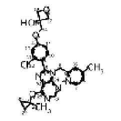 Cc1ccnc(Cn2c(-c3ccc(OCC4(O)COC4)cc3Cl)nc3c(OC4(C)CC4)ncnc32)c1